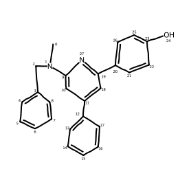 CN(Cc1ccccc1)c1cc(-c2ccccc2)cc(-c2ccc(O)cc2)n1